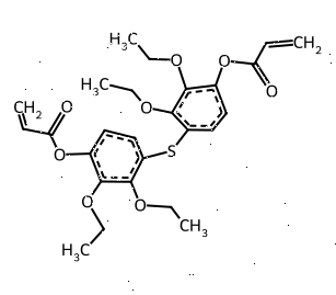 C=CC(=O)Oc1ccc(Sc2ccc(OC(=O)C=C)c(OCC)c2OCC)c(OCC)c1OCC